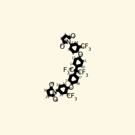 O=C1C=CC(=O)N1c1ccc(Oc2ccc(C(c3ccc(Oc4ccc(N5C(=O)C=CC5=O)cc4C(F)(F)F)cc3)(C(F)(F)F)C(F)(F)F)cc2)c(C(F)(F)F)c1